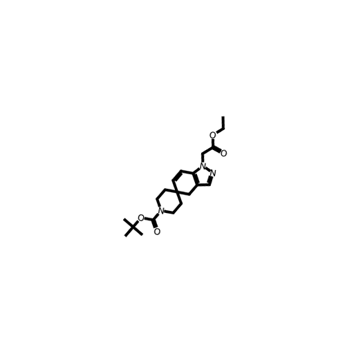 CCOC(=O)Cn1ncc2c1C=CC1(CCN(C(=O)OC(C)(C)C)CC1)C2